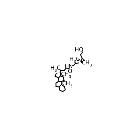 C[C@H](CCC(=O)NCCC[N+](C)(C)CCCO)[C@H]1CCC2C3CCC4CCCC[C@]4(C)C3CC[C@@]21C